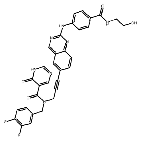 O=C(NCCO)c1ccc(Nc2ncc3cc(C#CCN(Cc4ccc(F)c(F)c4)C(=O)c4cnc[nH]c4=O)ccc3n2)cc1